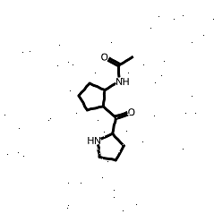 CC(=O)NC1CCCC1C(=O)C1CCCN1